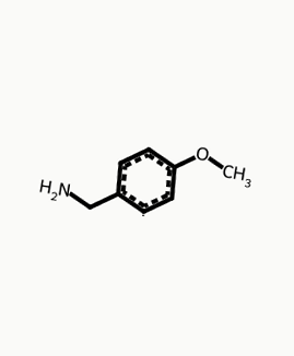 COc1c[c]c(CN)cc1